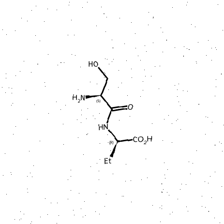 CC[C@@H](NC(=O)[C@@H](N)CO)C(=O)O